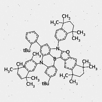 Cc1cc2c(cc1N1c3cc(C(C)(C)C)ccc3B3c4c1cc(-c1ccccc1C(C)(C)C)cc4N(c1ccc4c(c1)C(C)(C)CCC4(C)C)c1oc4cc5c(cc4c13)C(C)(C)CCC5(C)C)C(C)(C)C=CC2(C)C